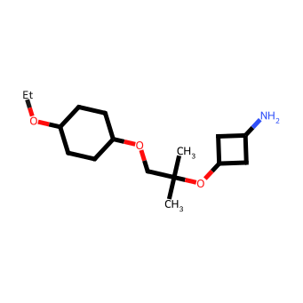 CCOC1CCC(OCC(C)(C)OC2CC(N)C2)CC1